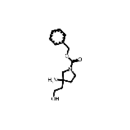 NC1(CCO)CCN(C(=O)OCc2ccccc2)C1